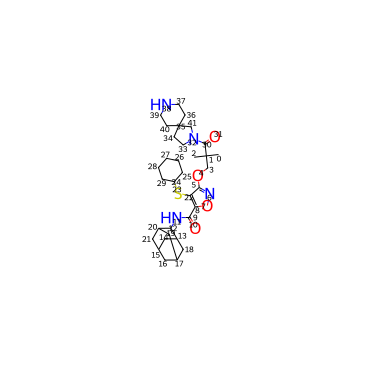 CC(C)(COc1noc(C(=O)NC2C3CC4CC(C3)CC2C4)c1SC1CCCCC1)C(=O)N1CCC2(CCNCC2)C1